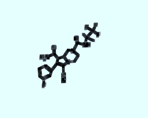 CC(C)(NC(=O)N1CCN2C(C#N)=C(c3cccc(F)c3)C(C(N)=O)C2C1)C(F)(F)F